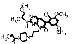 C=CC(=O)N1CCN(CCCn2c(=O)c(-c3cc(OC)cc(OC)c3Cl)cc3cnc(N[C@@H](C)COC)nc32)CC1